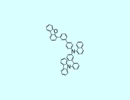 c1cc(-c2ccc(N(c3cccc(-c4ccccc4-n4c5ccccc5c5ccccc54)c3)c3cccc4ccccc34)cc2)cc(-c2cccc3c2oc2ccccc23)c1